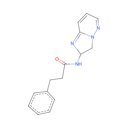 O=C(CCc1ccccc1)NC1CN2N=CC=CC2=N1